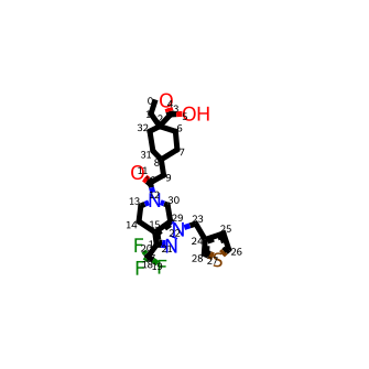 CCC1(C(=O)O)CCC(CC(=O)N2CCc3c(C(F)(F)F)nn(Cc4ccsc4)c3C2)CC1